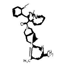 Cc1cc(C)nc(N2CC3CN(C(=O)c4c(C5CC=CC=C5F)nn5ccccc45)CC3C2)n1